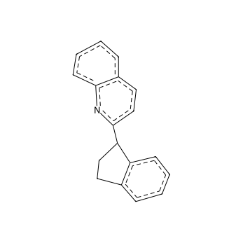 c1ccc2c(c1)CCC2c1ccc2ccccc2n1